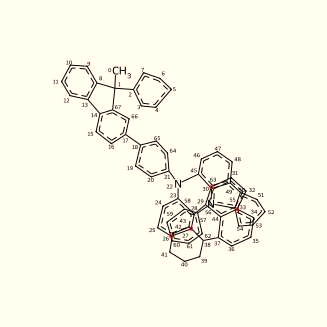 CC1(c2ccccc2)c2ccccc2-c2ccc(-c3ccc(N(c4ccccc4-c4cccc5cccc(C6CCCCC6)c45)c4cccc5c6ccccc6n(-c6ccccc6)c45)cc3)cc21